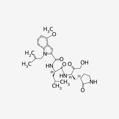 C=C(C)Cn1c(C(=O)N[C@H](CC(C)C)C(=O)N[C@H](C[C@@H]2CCNC2=O)C(=O)CO)cc2c(OC)cccc21